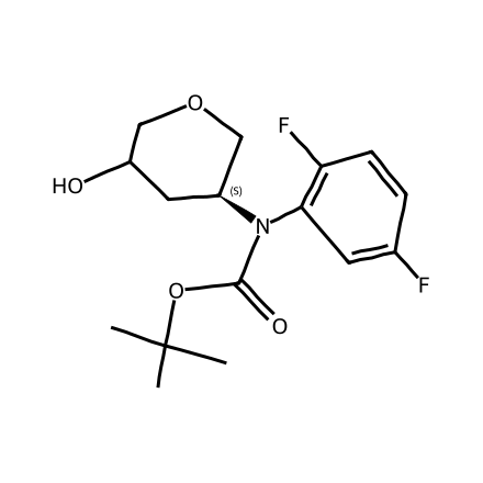 CC(C)(C)OC(=O)N(c1cc(F)ccc1F)[C@@H]1COCC(O)C1